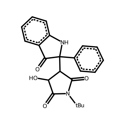 CC(C)(C)N1C(=O)C(O)C(C2(c3ccccc3)Nc3ccccc3C2=O)C1=O